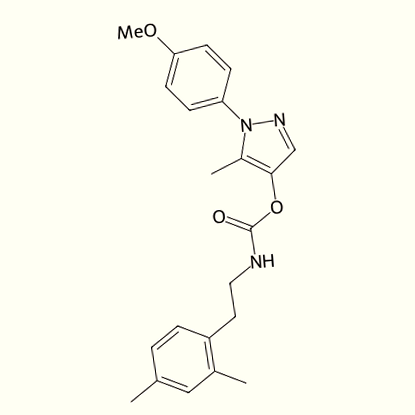 COc1ccc(-n2ncc(OC(=O)NCCc3ccc(C)cc3C)c2C)cc1